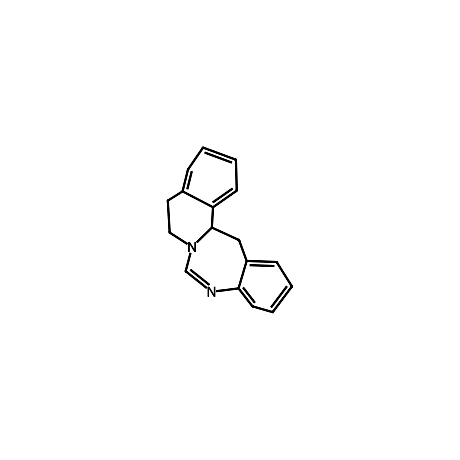 C1=Nc2ccccc2CC2c3ccccc3CCN12